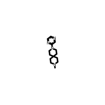 CN1CCC2(CC1)CCN(c1cnccn1)CC2